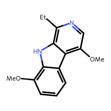 CCc1ncc(OC)c2c1[nH]c1c(OC)cccc12